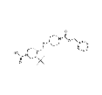 CC(C)(C)C1CN(C(=O)O)CCC1COC1CCN(C(=O)OCc2ccccc2)CC1